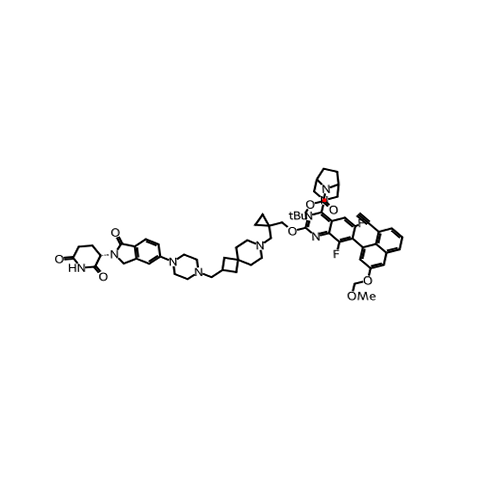 C#Cc1cccc2cc(OCOC)cc(-c3c(F)cc4c(N5CC6CCC(C5)N6C(=O)OC(C)(C)C)nc(OCC5(CN6CCC7(CC6)CC(CN6CCN(c8ccc9c(c8)CN([C@H]8CCC(=O)NC8=O)C9=O)CC6)C7)CC5)nc4c3F)c12